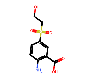 Nc1ccc(S(=O)(=O)CCO)cc1C(=O)O